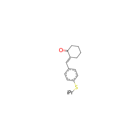 CC(C)Sc1ccc(C=C2CCCCC2=O)cc1